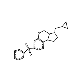 O=S(=O)(c1ccccc1)c1ccc2c(c1)OCC1C2CCN1CC1CC1